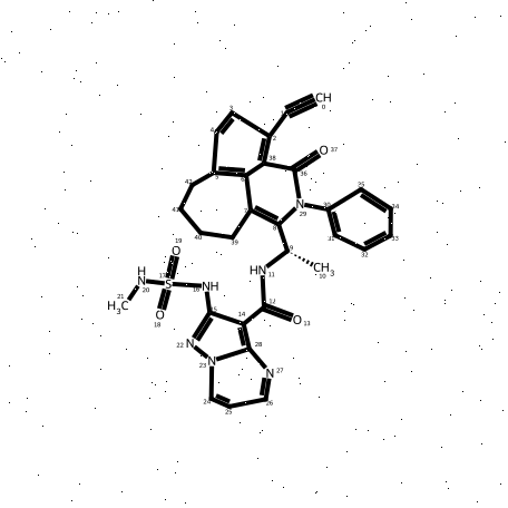 C#Cc1ccc2c3c(c([C@H](C)NC(=O)c4c(NS(=O)(=O)NC)nn5cccnc45)n(-c4ccccc4)c(=O)c13)CCCC2